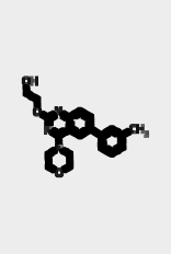 Cc1cccc(-c2ccc3nc(OCCO)nc(N4CCOCC4)c3c2)c1